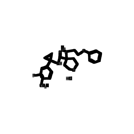 CN(CCOc1ccccc1)C1(C(=O)NC2(c3ccc(C(=O)O)c(F)c3)CC2)CCOCC1.Cl